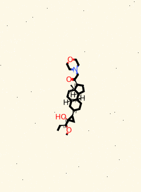 CC[C@H](OC)[C@]1(O)CC1[C@@H]1CC[C@@H]2[C@H](CC[C@]3(C)[C@@H](C(=O)CN4CCOCC4)CC[C@@H]23)C1